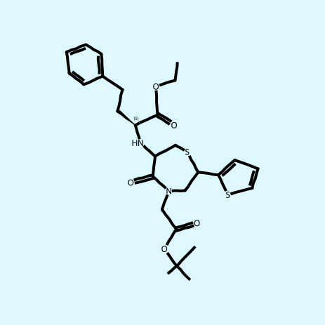 CCOC(=O)[C@H](CCc1ccccc1)NC1CSC(c2cccs2)CN(CC(=O)OC(C)(C)C)C1=O